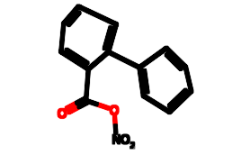 O=C(O[N+](=O)[O-])c1ccccc1-c1ccccc1